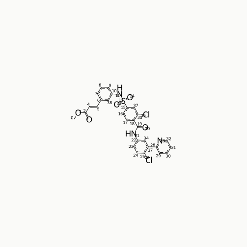 COC(=O)C=Cc1cccc(NS(=O)(=O)c2ccc(C(=O)Nc3ccc(Cl)c(-c4ccccn4)c3)c(Cl)c2)c1